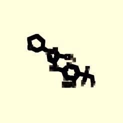 CNc1nc(Nc2cn(C3CCCOC3)nc2C)ncc1C(F)(F)CF